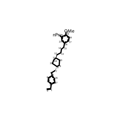 C=Cc1ccc(CC[C@H]2CC[C@H](CCCCc3ccc(OC)c(CCC)c3)CC2)cc1